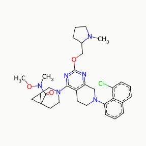 CON(C)C(=O)C12CCN(c3nc(OCC4CCCN4C)nc4c3CCN(c3cccc5cccc(Cl)c35)C4)CC1C2